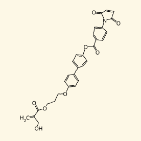 C=C(CO)C(=O)OCCCOc1ccc(-c2ccc(OC(=O)c3ccc(N4C(=O)C=CC4=O)cc3)cc2)cc1